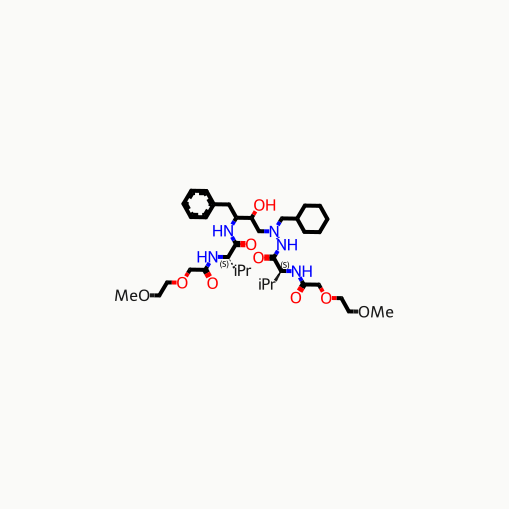 COCCOCC(=O)N[C@H](C(=O)NC(Cc1ccccc1)C(O)CN(CC1CCCCC1)NC(=O)[C@@H](NC(=O)COCCOC)C(C)C)C(C)C